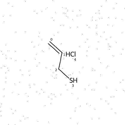 C=CCS.Cl